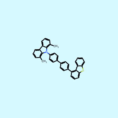 Cc1cccc2c3cccc(C)c3n(-c3ccc(-c4ccc(-c5cccc6sc7ccccc7c56)cc4)cc3)c12